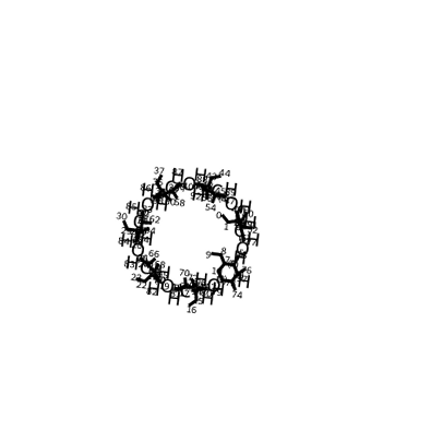 CCC1C[C@@H]2O[C@@H]3C(CC)C[C@H](O[C@@H]4C(CC)C[C@@H](O[C@@H]5C(CC)C[C@@H](O[C@@H]6C(CC)C[C@@H](O[C@@H]7C(CC)C[C@@H](O[C@@H]8C(CC)C[C@H](O[C@H]1[C@H](C)C2C)C(C)[C@H]8C)C(C)[C@H]7C)C(C)[C@H]6C)C(C)[C@H]5C)C(C)[C@H]4C)C(C)[C@H]3C